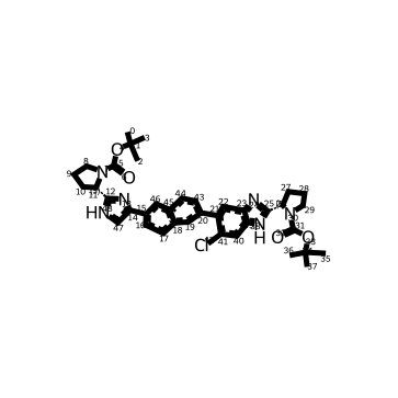 CC(C)(C)OC(=O)N1CCC[C@H]1c1nc(-c2ccc3cc(-c4cc5nc([C@@H]6CCCN6C(=O)OC(C)(C)C)[nH]c5cc4Cl)ccc3c2)c[nH]1